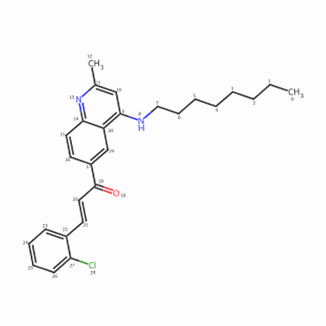 CCCCCCCCNc1cc(C)nc2ccc(C(=O)C=Cc3ccccc3Cl)cc12